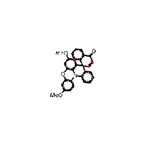 COc1ccc2c(c1)Oc1cc(OC)cc3c1N2c1ccccc1C31c2ccccc2C(=O)c2ccccc21